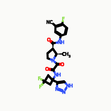 C[C@H]1[C@@H](C(=O)Nc2ccc(F)c(C#N)c2)CCN1C(=O)C(=O)NC1(c2c[nH]nn2)CC(F)(F)C1